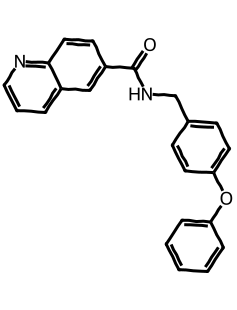 O=C(NCc1ccc(Oc2ccccc2)cc1)c1ccc2ncccc2c1